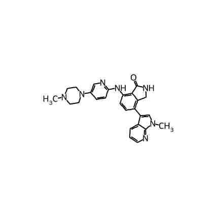 CN1CCN(c2ccc(Nc3ccc(-c4cn(C)c5ncccc45)c4c3C(=O)NC4)nc2)CC1